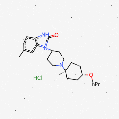 CCCO[C@H]1CC[C@](C)(N2CCC(n3c(=O)[nH]c4ccc(C)cc43)CC2)CC1.Cl